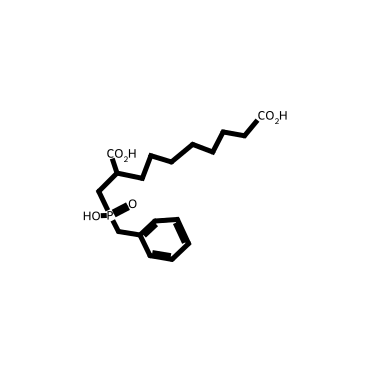 O=C(O)CCCCCCCC(CP(=O)(O)Cc1ccccc1)C(=O)O